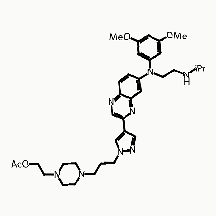 COc1cc(OC)cc(N(CCNC(C)C)c2ccc3ncc(-c4cnn(CCCN5CCN(CCOC(C)=O)CC5)c4)nc3c2)c1